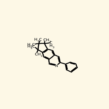 CC1(C)c2cc3cnc(-c4ccccc4)cc3cc2C(C)(C)C1(C)C